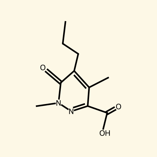 CCCc1c(C)c(C(=O)O)nn(C)c1=O